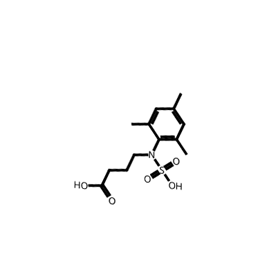 Cc1cc(C)c(N(CCCC(=O)O)S(=O)(=O)O)c(C)c1